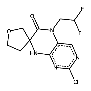 O=C1N(CC(F)F)c2cnc(Cl)nc2NC12CCOC2